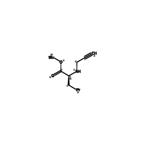 C#CCN[C@@H](CC(C)C)C(=O)OC(C)(C)C